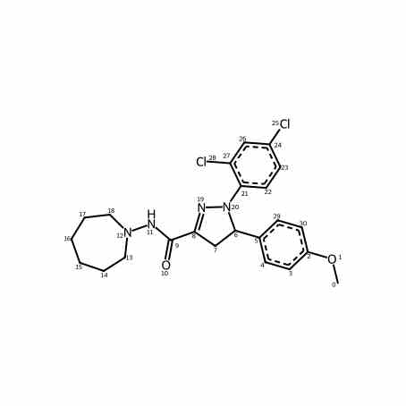 COc1ccc(C2CC(C(=O)NN3CCCCCC3)=NN2c2ccc(Cl)cc2Cl)cc1